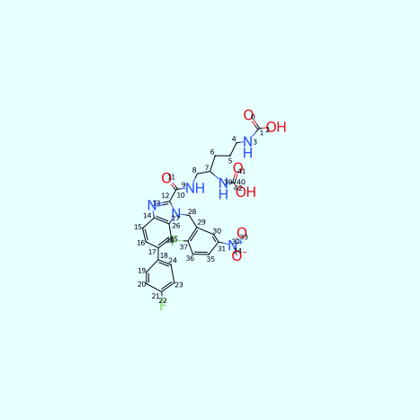 O=C(O)NCCCC(CNC(=O)c1nc2ccc(-c3ccc(F)cc3)cc2n1Cc1cc([N+](=O)[O-])ccc1F)NC(=O)O